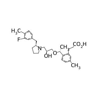 Cc1ccc([C@@H](C)OC[C@@H](O)CN2CCC[C@H]2Cc2ccc(C)c(F)c2)c(CCC(=O)O)c1